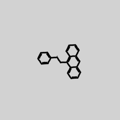 [CH](Cc1c2ccccc2cc2ccccc12)c1ccccc1